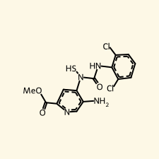 COC(=O)c1cc(N(S)C(=O)Nc2c(Cl)cccc2Cl)c(N)cn1